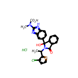 CC(c1sccc1Cl)N1C(=O)c2ccccc2C1(O)c1ccc2[nH]c(N(C)C(=O)O)nc2c1.Cl